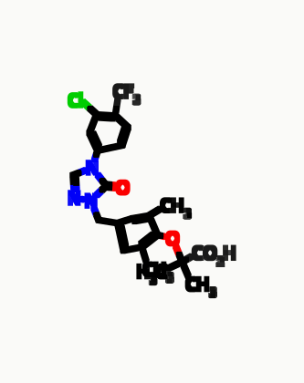 Cc1cc(Cn2ncn(-c3ccc(C(F)(F)F)c(Cl)c3)c2=O)cc(C)c1OC(C)(C)C(=O)O